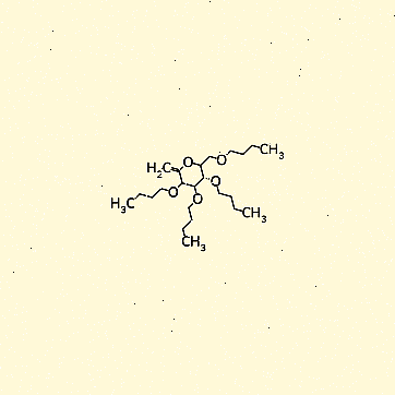 C=C1OC(COCCCC)[C@H](OCCCC)C(OCCCC)C1OCCCC